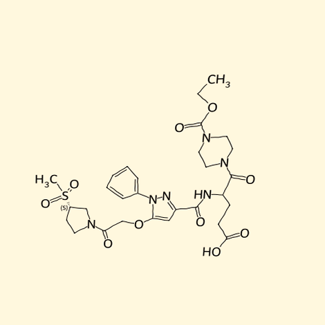 CCOC(=O)N1CCN(C(=O)C(CCC(=O)O)NC(=O)c2cc(OCC(=O)N3CC[C@H](S(C)(=O)=O)C3)n(-c3ccccc3)n2)CC1